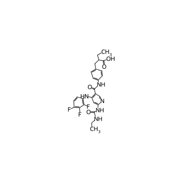 CCNC(=O)Nc1cc(Nc2ccc(F)c(F)c2F)c(C(=O)Nc2ccc(CC(CC)C(=O)O)cc2)cn1